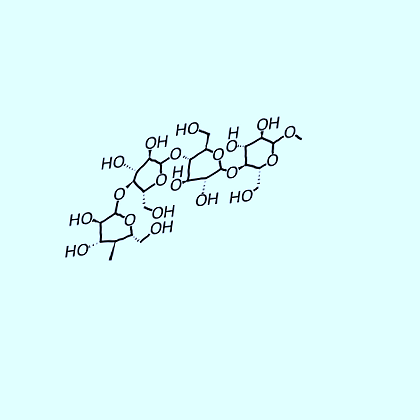 COC1O[C@H](CO)[C@@H](OC2O[C@H](CO)[C@@H](OC3O[C@H](CO)[C@@H](OC4O[C@H](CO)[C@@H](C)[C@H](O)[C@H]4O)[C@H](O)[C@H]3O)[C@H](O)[C@H]2O)[C@H](O)[C@H]1O